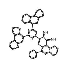 N=C1C(=N)c2c(c(-c3ccccc3)nc3ccccc23)C=C1c1cc(-c2cc3ccccc3c3ccccc23)nc(-c2cc3ccccc3c3ccccc23)n1